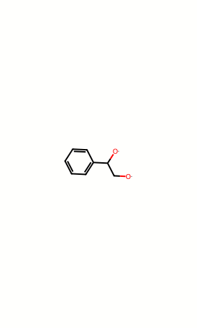 [O]CC([O])c1ccccc1